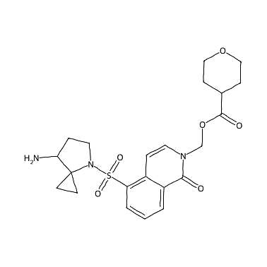 NC1CCN(S(=O)(=O)c2cccc3c(=O)n(COC(=O)C4CCOCC4)ccc23)C12CC2